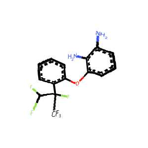 Nc1cccc(Oc2ccccc2C(F)(C(F)F)C(F)(F)F)c1N